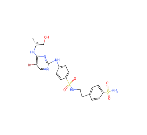 C[C@H](CO)Nc1nc(Nc2ccc(S(=O)(=O)NCCc3ccc(S(N)(=O)=O)cc3)cc2)ncc1Br